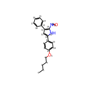 CCCCCOc1ccc(-c2cc(-c3ccccc3)c(N=O)[nH]2)cc1